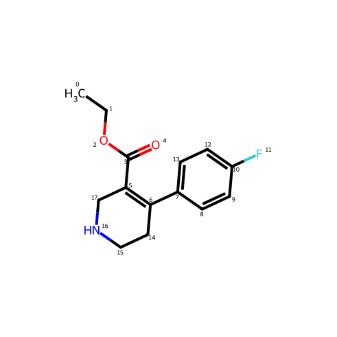 CCOC(=O)C1=C(c2ccc(F)cc2)CCNC1